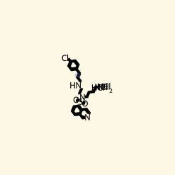 Cl.Cl.Cl.NCCCCN(CCNC/C=C/c1ccc(Cl)cc1)S(=O)(=O)c1cccc2cnccc12